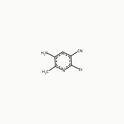 CCc1nc(C)c(N)cc1C#N